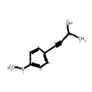 CSc1ccc(C#CC(C)O)cc1